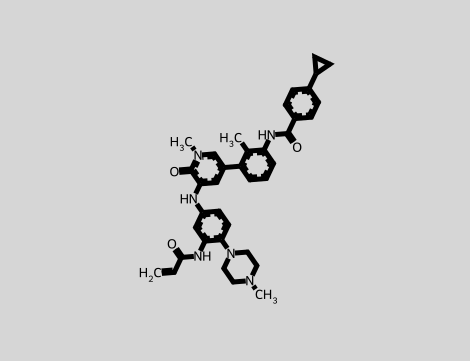 C=CC(=O)Nc1cc(Nc2cc(-c3cccc(NC(=O)c4ccc(C5CC5)cc4)c3C)cn(C)c2=O)ccc1N1CCN(C)CC1